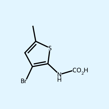 Cc1cc(Br)c(NC(=O)O)s1